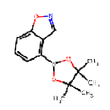 CC1(C)OB(c2cccc3oncc23)OC1(C)C